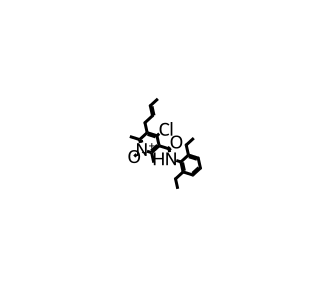 CC=CCc1c(Cl)c(C(=O)Nc2c(CC)cccc2CC)c(C)[n+]([O-])c1C